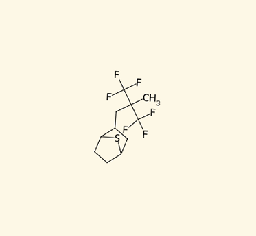 CC(CC1CC2CCC1S2)(C(F)(F)F)C(F)(F)F